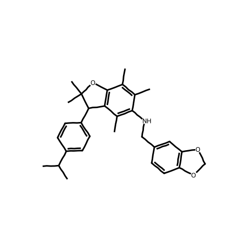 Cc1c(C)c2c(c(C)c1NCc1ccc3c(c1)OCO3)C(c1ccc(C(C)C)cc1)C(C)(C)O2